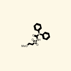 COCCS(=O)(=O)NC(=O)N(c1ccccc1)c1ccccc1